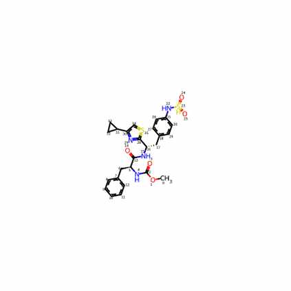 COC(=O)N[C@@H](Cc1ccccc1)C(=O)N[C@@H](Cc1ccc(N[SH](=O)=O)cc1)c1nc(C2CC2)cs1